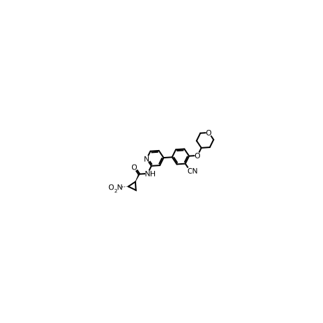 N#Cc1cc(-c2ccnc(NC(=O)[C@H]3C[C@@H]3[N+](=O)[O-])c2)ccc1OC1CCOCC1